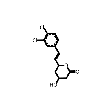 O=C1CC(O)CC(C=Cc2ccc(Cl)c(Cl)c2)O1